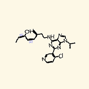 C=C(/C=C\C(O)=C/C)CCNc1nc(-c2cnccc2Cl)nc2c1ncn2C(C)C